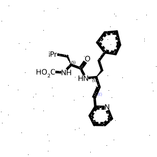 CC(C)C[C@H](NC(=O)O)C(=O)N[C@H](/C=C/c1ccccn1)CCc1ccccc1